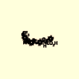 O=C(N[C@@H](Cc1ccccc1)C(=O)O)c1ccc(Cn2ccc3cc(NS(=O)(=O)c4ccc(OC(F)(F)F)cc4)ccc32)cc1